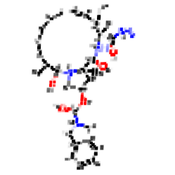 C[C@H]1CCCCC/C=C\[C@@H]2C[C@@]2(C(N)=O)NC(=O)[C@@H]2C[C@@H](OC(=O)N3Cc4ccccc4C3)CN2C1=O